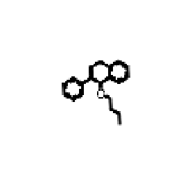 CCCCOC1c2ccccc2CCC1c1ccccc1